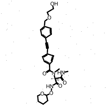 CNC(=O)[C@@](C)(C(=O)NOC1CCCCO1)N(C)C(=O)c1ccc(C#Cc2ccc(COCCO)cc2)cc1